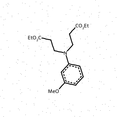 CCOC(=O)CCN(CCC(=O)OCC)c1cccc(OC)c1